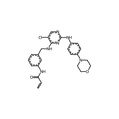 C=CC(=O)Nc1cccc(CNc2nc(Nc3ccc(N4CCOCC4)cc3)ncc2Cl)c1